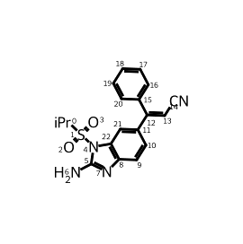 CC(C)S(=O)(=O)n1c(N)nc2ccc(C(=CC#N)c3ccccc3)cc21